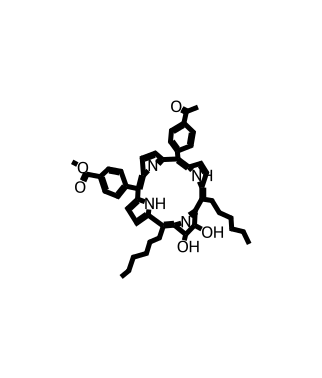 CCCCCCc1c2nc(c(CCCCCC)c3ccc([nH]3)c(-c3ccc(C(=O)OC)cc3)c3nc(c(-c4ccc(C(C)=O)cc4)c4ccc1[nH]4)C=C3)C(O)C2O